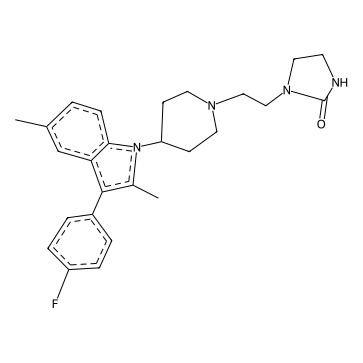 Cc1ccc2c(c1)c(-c1ccc(F)cc1)c(C)n2C1CCN(CCN2CCNC2=O)CC1